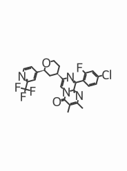 Cc1nc2c(-c3ccc(Cl)cc3F)nc([C@@H]3CCO[C@H](c4ccnc(C(F)(F)F)c4)C3)cn2c(=O)c1C